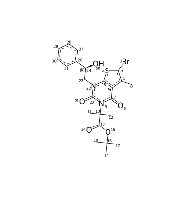 Cc1c(Br)sc2c1c(=O)n(C(C)(C)C(=O)OC(C)(C)C)c(=O)n2C[C@H](O)c1ccccc1